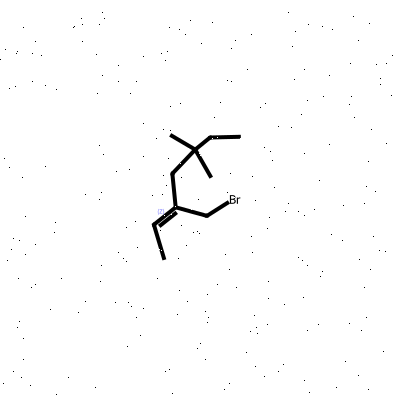 C/C=C(\CBr)CC(C)(C)CC